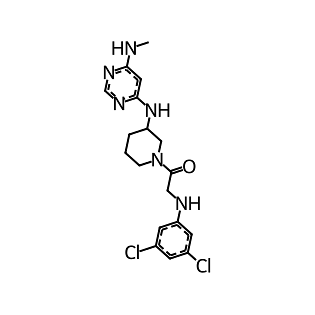 CNc1cc(NC2CCCN(C(=O)CNc3cc(Cl)cc(Cl)c3)C2)ncn1